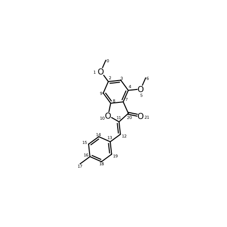 COc1cc(OC)c2c(c1)O/C(=C\c1ccc(C)cc1)C2=O